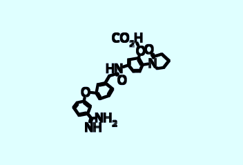 N=C(N)c1cccc(Oc2cccc(CC(=O)Nc3ccc(N4CCCCC4=O)c(OCC(=O)O)c3)c2)c1